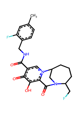 Cc1ccc(CNC(=O)c2cn3c(c(O)c2=O)C(=O)N2CC3CCCC2CF)c(F)c1